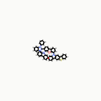 c1ccc(-n2c(-c3ccc4c(oc5c(-n6c7ccccc7c7cc8sc9ccccc9c8cc76)cccc54)c3-n3c4ccccc4c4ccccc43)nc3ccccc32)cc1